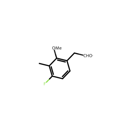 COc1c(C[C]=O)ccc(F)c1C